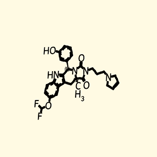 C[C@@]12Cc3c([nH]c4ccc(OC(F)F)cc34)[C@@H](c3cccc(O)c3)N1C(=O)N(CCCN1CC=CC1)C2=O